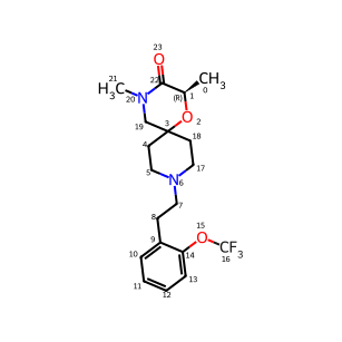 C[C@H]1OC2(CCN(CCc3ccccc3OC(F)(F)F)CC2)CN(C)C1=O